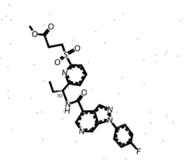 CC[C@H](NC(=O)c1cncc2c1cnn2-c1ccc(F)cc1)c1cccc(S(=O)(=O)CCC(=O)OC)n1